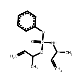 C=CC(C)OP(=O)(N[C@@H](C)C=C)Oc1ccccc1